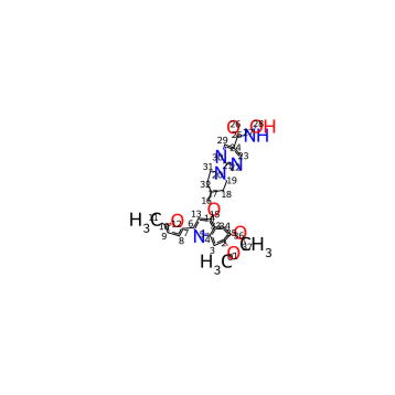 COc1cc2nc(-c3ccc(C)o3)cc(OCC3CCN(c4ncc(C(=O)NO)cn4)CC3)c2cc1OC